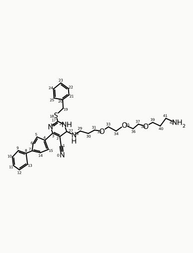 N#CC1=C(c2ccc(-c3ccccc3)cc2)N=C(SCc2ccccc2)NC1NCCCOCCOCCOCCCN